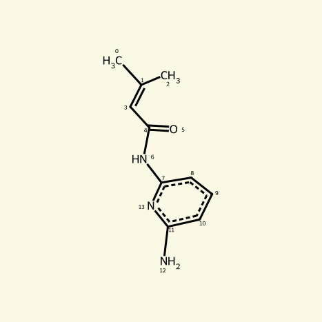 CC(C)=CC(=O)Nc1cccc(N)n1